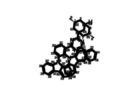 C[C@@H]1C[C@@H]2C[C@H](C)CC(c3nc(-c4ccccc4)nc(-c4cccc(-n5c6ccccc6c6ccccc65)c4-n4c5ccccc5c5ccccc54)n3)(C1)C2